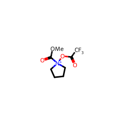 COC(=O)[N+]1(OC(=O)C(F)(F)F)CCCC1